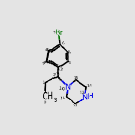 CCC(c1ccc(Br)cc1)N1CCNCC1